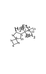 BC(B)(C1CCC2(CCC2)C1)C(C)(C)CC